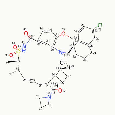 C[C@@H]1[C@@H](C)CCC[C@@H](C(=O)N2CCC2)[C@@H]2CC[C@H]2CN2C[C@@]3(CCCc4cc(Cl)ccc43)COc3ccc(cc32)C(=O)NS1(=O)=O